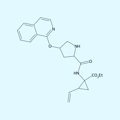 C=CC1CC1(NC(=O)C1CC(Oc2nccc3ccccc23)CN1)C(=O)OCC